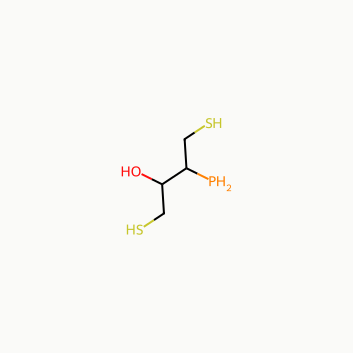 OC(CS)C(P)CS